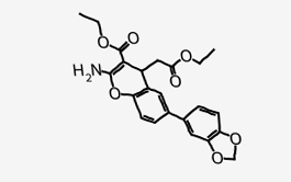 CCOC(=O)CC1C(C(=O)OCC)=C(N)Oc2ccc(-c3ccc4c(c3)OCO4)cc21